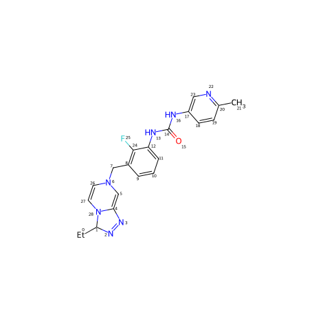 CCC1N=NC2=CN(Cc3cccc(NC(=O)Nc4ccc(C)nc4)c3F)C=CN21